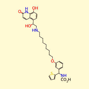 O=C(O)NC(c1cccc(OCCCCCCCCCNC[C@@H](O)c2ccc(O)c3[nH]c(=O)ccc23)c1)c1cccs1